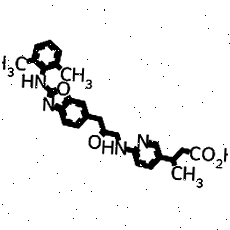 Cc1cccc(C)c1Nc1nc2ccc(CC(=O)CNc3ccc(C(C)CC(=O)O)cn3)cc2o1